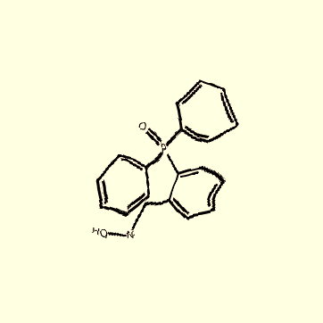 O=P(c1ccccc1)(c1ccccc1)c1ccccc1C[N]O